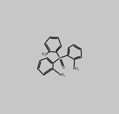 O=[N+]([O-])c1ccccc1P(=O)(c1ccccc1[N+](=O)[O-])c1ccccc1[N+](=O)[O-]